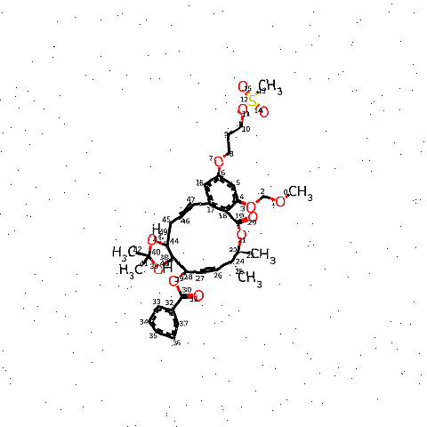 COCOc1cc(OCCCOS(C)(=O)=O)cc2c1C(=O)O[C@@H](C)[C@H](C)/C=C\C(OC(=O)c1ccccc1)[C@H]1OC(C)(C)O[C@H]1C/C=C/2